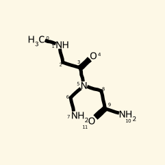 CNCC(=O)N(CN)CC(N)=O